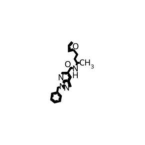 CC(CCc1ccco1)NC(=O)c1cnc2c(cnn2Cc2ccccc2)c1